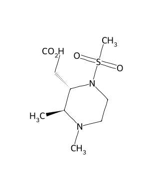 C[C@H]1[C@H](CC(=O)O)N(S(C)(=O)=O)CCN1C